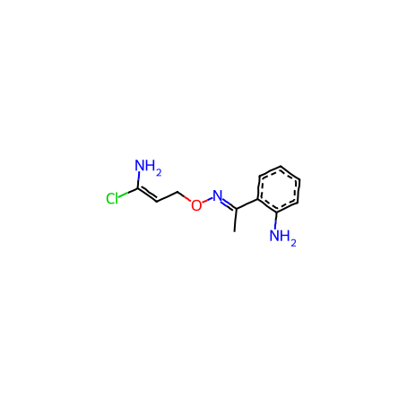 C/C(=N\OC/C=C(\N)Cl)c1ccccc1N